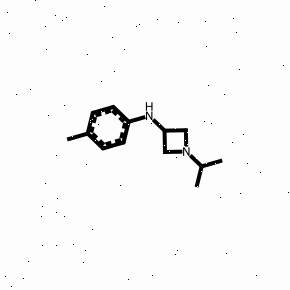 Cc1ccc(NC2CN(C(C)C)C2)cc1